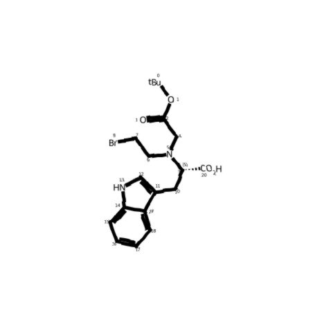 CC(C)(C)OC(=O)CN(CCBr)[C@@H](Cc1c[nH]c2ccccc12)C(=O)O